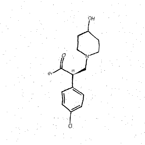 CC(C)C(=O)[C@@H](CN1CCC(O)CC1)c1ccc(Cl)cc1